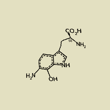 Nc1ccc2c(C[C@H](N)C(=O)O)c[nH]c2c1O